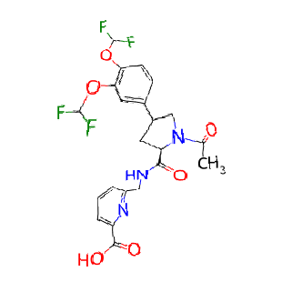 CC(=O)N1CC(c2ccc(OC(F)F)c(OC(F)F)c2)C[C@@H]1C(=O)NCc1cccc(C(=O)O)n1